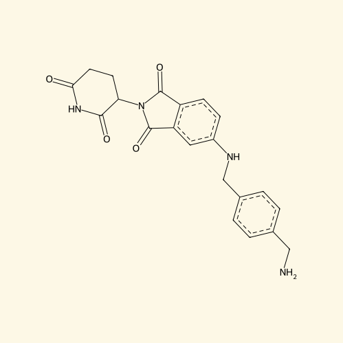 NCc1ccc(CNc2ccc3c(c2)C(=O)N(C2CCC(=O)NC2=O)C3=O)cc1